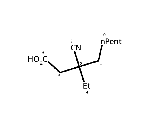 CCCCCCC(C#N)(CC)CC(=O)O